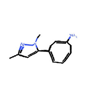 Cc1cc(-c2cccc(N)c2)n(C)n1